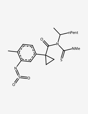 CCCCCC(C)N(C(=O)C1(c2ccc(C)c(N=S(=O)=O)c2)CC1)C(=S)NC